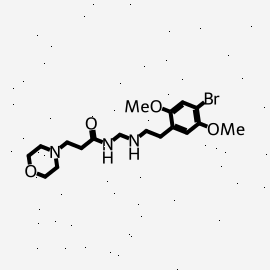 COc1cc(CCNCNC(=O)CCN2CCOCC2)c(OC)cc1Br